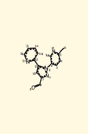 Cc1ccc(-n2nc(C=O)cc2-c2ccccn2)cn1